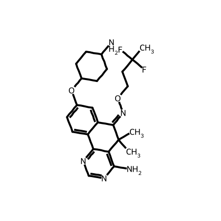 CC(F)(F)CCO/N=C1\c2cc(OC3CCC(N)CC3)ccc2-c2ncnc(N)c2C1(C)C